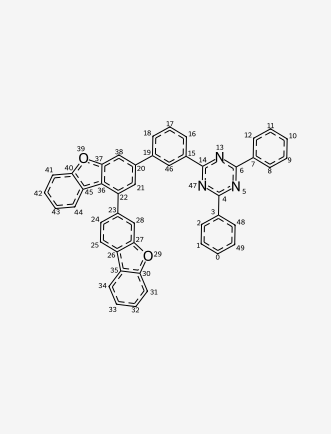 c1ccc(-c2nc(-c3ccccc3)nc(-c3cccc(-c4cc(-c5ccc6c(c5)oc5ccccc56)c5c(c4)oc4ccccc45)c3)n2)cc1